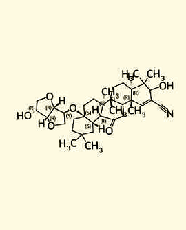 CC1(C)CC[C@]2(O[C@H]3CO[C@H]4[C@@H]3OC[C@H]4O)CC[C@]3(C)[C@H](C(=O)C=C4[C@@]5(C)C=C(C#N)C(O)C(C)(C)[C@@H]5CC[C@]43C)[C@@H]2C1